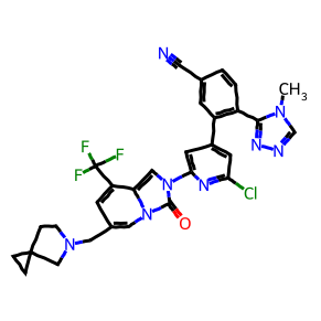 Cn1cnnc1-c1ccc(C#N)cc1-c1cc(Cl)nc(-n2cc3c(C(F)(F)F)cc(CN4CCC5(CC5)C4)cn3c2=O)c1